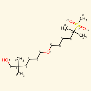 CC(C)(CO)CCCCOCCCCC(C)(C)S(C)(=O)=O